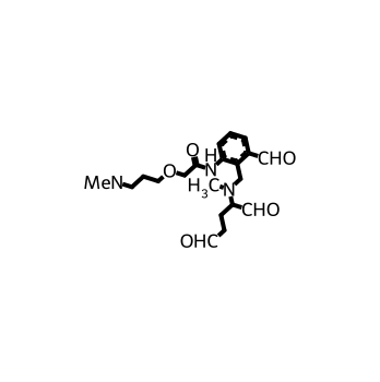 CNCCCOCC(=O)Nc1cccc(C=O)c1CN(C)C(C=O)CCC=O